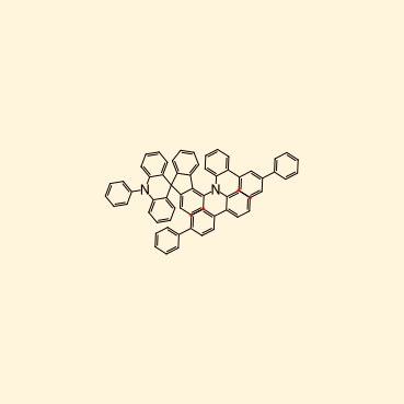 c1ccc(-c2ccc(-c3ccccc3N(c3ccccc3-c3cccc(-c4ccccc4)c3)c3cccc4c3-c3ccccc3C43c4ccccc4N(c4ccccc4)c4ccccc43)cc2)cc1